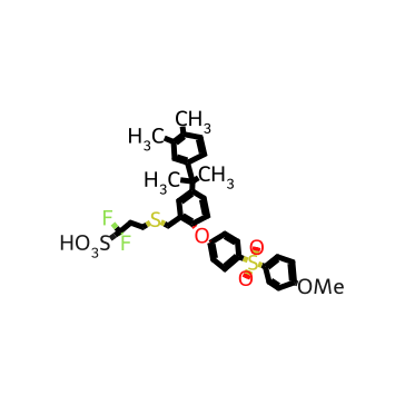 COc1ccc(S(=O)(=O)c2ccc(Oc3ccc(C(C)(C)c4ccc(C)c(C)c4)cc3CSCCC(F)(F)S(=O)(=O)O)cc2)cc1